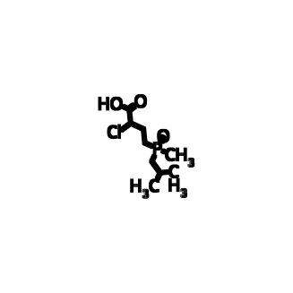 CC(C)CP(C)(=O)CCC(Cl)C(=O)O